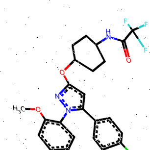 COc1ccccc1-n1nc(OC2CCC(NC(=O)C(F)(F)F)CC2)cc1-c1ccc(Cl)cc1